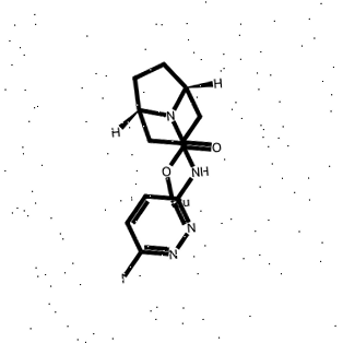 CC(C)(C)OC(=O)N1[C@@H]2CC[C@H]1CC(Nc1ccc(I)nn1)C2